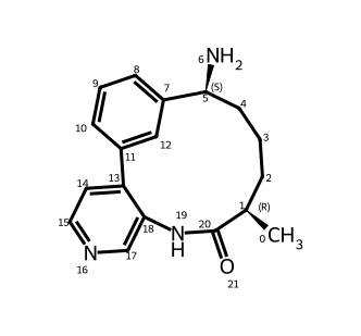 C[C@@H]1CCC[C@H](N)c2cccc(c2)-c2ccncc2NC1=O